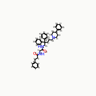 O=C(CCc1ccccc1)NCC(=O)NCC(CCCN1CCC(c2ccccc2)CC1)(c1ccccc1)c1ccccc1